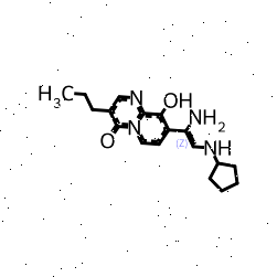 CCCc1cnc2c(O)c(/C(N)=C/NC3CCCC3)ccn2c1=O